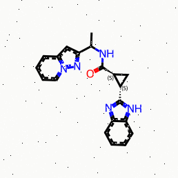 CC(NC(=O)[C@H]1C[C@@H]1c1nc2ccccc2[nH]1)c1cc2ccccn2n1